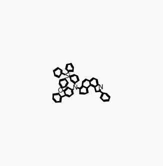 c1ccc(C2=Nc3ccc4ccc5c(N(c6cccc([Si](c7ccccc7)(c7ccccc7)c7ccccc7)c6)c6ccc7c(c6)oc6ccccc67)cccc5c4c3C2)cc1